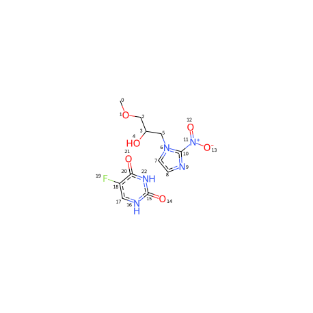 COCC(O)Cn1ccnc1[N+](=O)[O-].O=c1[nH]cc(F)c(=O)[nH]1